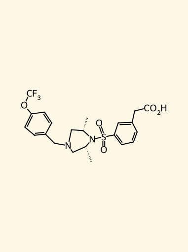 C[C@@H]1CN(Cc2ccc(OC(F)(F)F)cc2)C[C@H](C)N1S(=O)(=O)c1cccc(CC(=O)O)c1